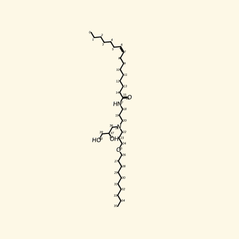 CCCCCC/C=C\CCCCCCCC(=O)NCCCN(CCCOCCCCCCCCCC)CC(O)CO